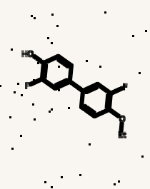 CCOc1ccc(-c2ccc(O)c(F)c2)cc1F